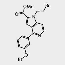 CCOc1cccc(-c2nccc3c2cc(C(=O)OC)n3CCBr)c1